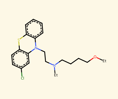 CCOCCCCN(CC)CCN1c2ccccc2Sc2ccc(Cl)cc21